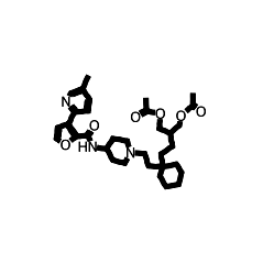 CC(=O)OCC(CCC1(CCN2CCC(NC(=O)c3occc3-c3ccc(C)cn3)CC2)CCCCC1)COC(C)=O